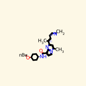 C=N/C=C\C=C(/C)c1cc(C)n2ccc(C(=O)N[C@H]3CC[C@H](OCCCC)CC3)c2n1